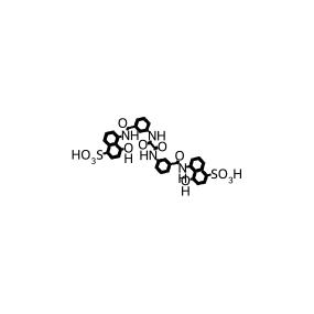 O=C(Nc1cccc(C(=O)Nc2cccc3c(S(=O)(=O)O)ccc(O)c23)c1)C(=O)Nc1cccc(C(=O)Nc2cccc3c(S(=O)(=O)O)ccc(O)c23)c1